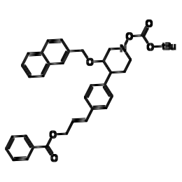 CC(C)(C)OC(=O)ON1CCC(c2ccc(C=CCOC(=O)c3ccccc3)cc2)C(OCc2ccc3ccccc3c2)C1